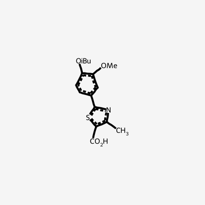 COc1cc(-c2nc(C)c(C(=O)O)s2)ccc1OCC(C)C